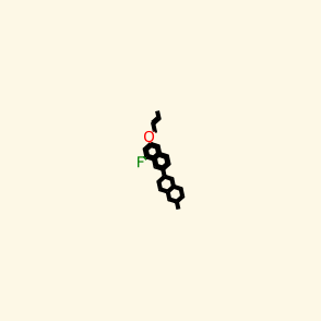 C/C=C/COc1cc(F)c2cc(C3CCC4CC(C)CCC4C3)ccc2c1